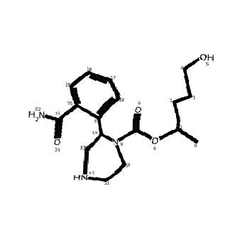 CC(CCCO)OC(=O)N1CCNCC1c1ccccc1C(N)=O